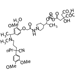 CCCC(C#N)(CCCN(C)C(C)c1ccc(OCC(=O)NN2CCC(C(C)O[N+](=O)OC(=O)CC(O)(CC(=O)O)C(=O)[O-])CC2)c(OC)c1)c1ccc(OC)c(OC)c1.O